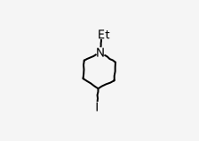 CCN1CCC(I)CC1